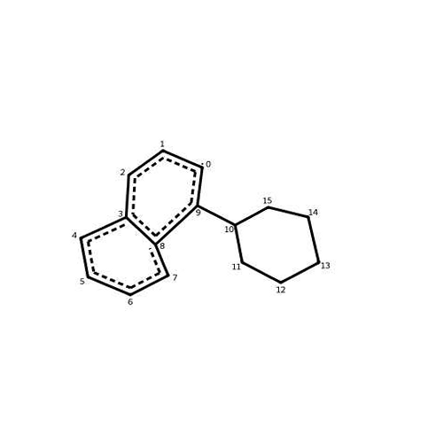 [c]1ccc2ccccc2c1C1CCCCC1